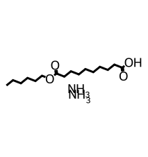 CCCCCCOC(=O)CCCCCCCCC(=O)O.N.N